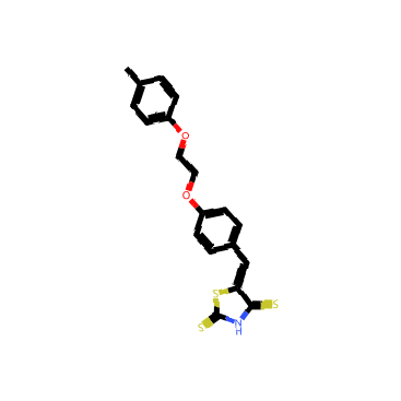 Cc1ccc(OCCOc2ccc(/C=C3\SC(=S)NC3=S)cc2)cc1